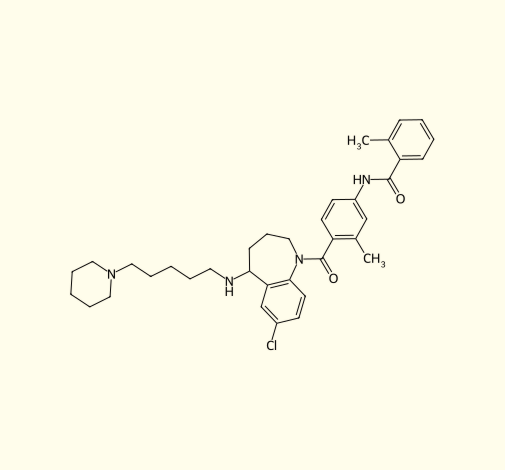 Cc1ccccc1C(=O)Nc1ccc(C(=O)N2CCCC(NCCCCCN3CCCCC3)c3cc(Cl)ccc32)c(C)c1